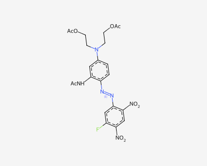 CC(=O)Nc1cc(N(CCOC(C)=O)CCOC(C)=O)ccc1/N=N/c1cc(F)c([N+](=O)[O-])cc1[N+](=O)[O-]